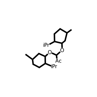 CC(=O)C(OC1CC(C)CCC1C(C)C)OC1CC(C)CCC1C(C)C